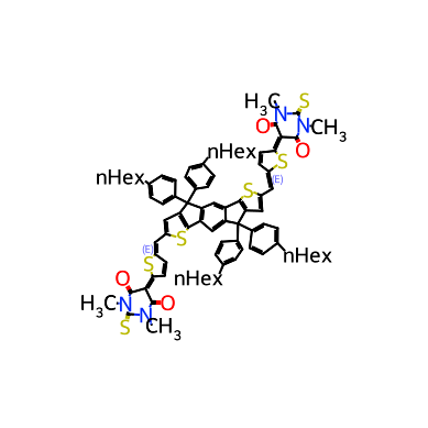 CCCCCCc1ccc(C2(c3ccc(CCCCCC)cc3)c3cc4c(cc3-c3sc(/C=c5\ccc(=C6C(=O)N(C)C(=S)N(C)C6=O)s5)cc32)C(c2ccc(CCCCCC)cc2)(c2ccc(CCCCCC)cc2)c2cc(/C=c3\ccc(=C5C(=O)N(C)C(=S)N(C)C5=O)s3)sc2-4)cc1